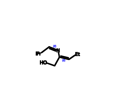 CC/C=C(CO)\N=C/C(C)C